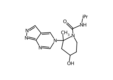 CC(C)NC(=O)N1CCC(O)CC1(C)n1cnc2nncc-2c1